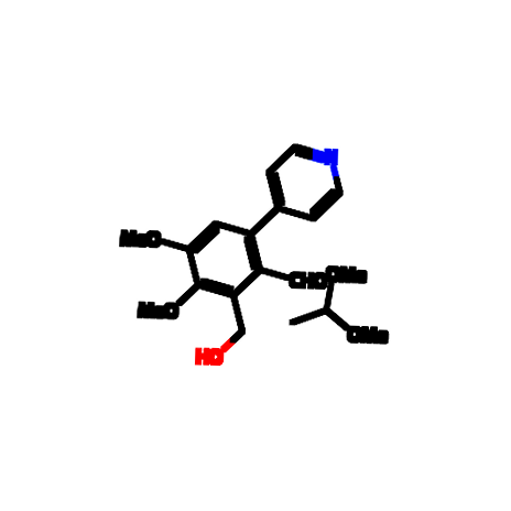 COC(C)OC.COc1cc(-c2ccncc2)c(C=O)c(CO)c1OC